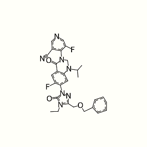 CCn1c(COCc2ccccc2)nn(-c2cc3c(cc2F)C(=O)N(c2c(F)cncc2C#N)CN3C(C)C)c1=O